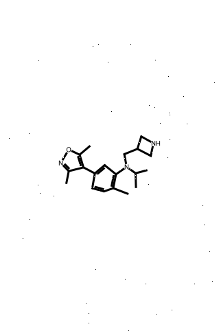 Cc1ccc(-c2c(C)noc2C)cc1N(CC1CNC1)C(C)C